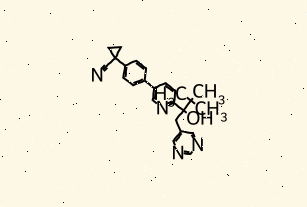 CC(C)(C)C(O)(Cc1cncnc1)c1ccc(-c2ccc(C3(C#N)CC3)cc2)cn1